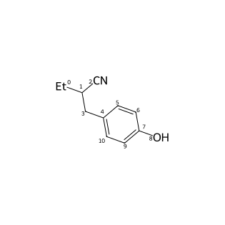 CCC(C#N)Cc1ccc(O)cc1